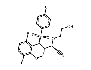 N#C[C@H](OCCO)[C@@H]1COc2c(F)ccc(F)c2[C@H]1S(=O)(=O)c1ccc(Cl)cc1